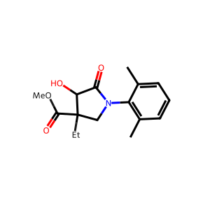 CCC1(C(=O)OC)CN(c2c(C)cccc2C)C(=O)C1O